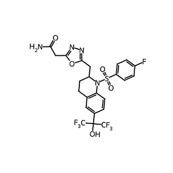 NC(=O)Cc1nnc(CC2CCc3cc(C(O)(C(F)(F)F)C(F)(F)F)ccc3N2S(=O)(=O)c2ccc(F)cc2)o1